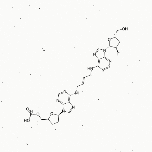 O=[PH](O)OC[C@@H]1CC[C@H](n2cnc3c(NC/C=C/CNc4ncnc5c4ncn5[C@@H]4O[C@H](CO)C[C@H]4F)ncnc32)O1